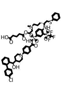 CN(CCC[C@H](CSc1ccccc1)Nc1ccc(S(=O)(=O)NC(=O)c2ccc(N3CCC([C@@H](O)c4ccccc4-c4ccc(Cl)cc4)CC3)cc2)cc1S(=O)(=O)C(F)(F)F)CCOC(=O)CCCC(=O)O